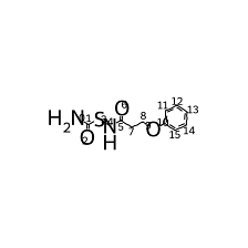 NC(=O)SNC(=O)CCOc1ccccc1